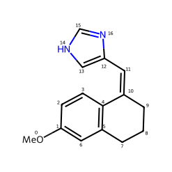 COc1ccc2c(c1)CCC/C2=C/c1c[nH]cn1